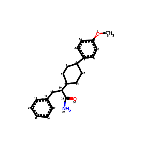 COc1ccc(C2CCC(C(Cc3ccccc3)C(N)=O)CC2)cc1